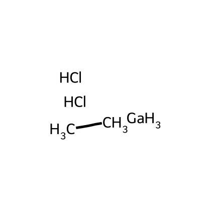 CC.Cl.Cl.[GaH3]